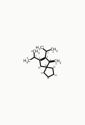 C=C1C(C(C)C)=C(C(C)C)CC12CCCC2